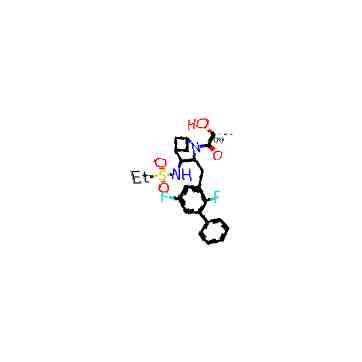 CCS(=O)(=O)NC1C2CC(C2)N(C(=O)[C@@H](C)O)C1Cc1cc(F)cc(-c2ccccc2)c1F